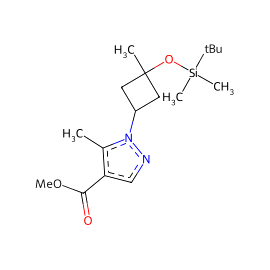 COC(=O)c1cnn(C2CC(C)(O[Si](C)(C)C(C)(C)C)C2)c1C